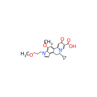 COCCCn1ccc2c3c(cc(OC)c21)-c1cc(=O)c(C(=O)O)cn1C(C1CC1)C3